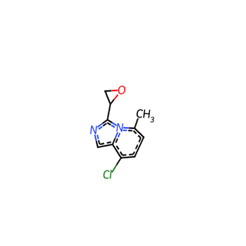 Cc1ccc(Cl)c2cnc(C3CO3)n12